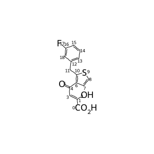 O=C(O)/C(O)=C/C(=O)c1ccsc1Cc1cccc(F)c1